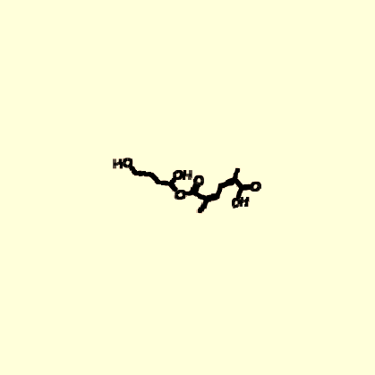 CC(=CC=C(C)C(=O)OC(O)CCCO)C(=O)O